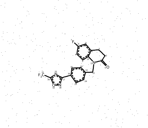 O=C1CCc2cc(F)ccc2N1Cc1ccc(-c2noc(C(F)(F)F)n2)cc1